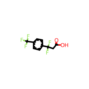 O=C(O)CC(F)(F)c1ccc(C(F)(F)F)cc1